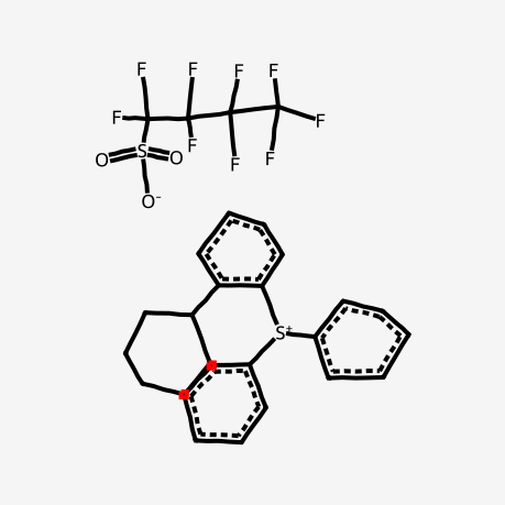 O=S(=O)([O-])C(F)(F)C(F)(F)C(F)(F)C(F)(F)F.c1ccc([S+](c2ccccc2)c2ccccc2C2CCCCC2)cc1